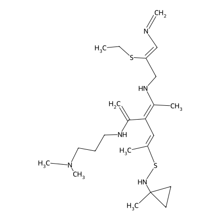 C=N/C=C(/CN/C(C)=C(/C=C(\C)SNC1(C)CC1)C(=C)NCCCN(C)C)SCC